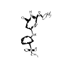 CSc1nc(Nc2cccc(S(C)(=O)=O)c2)cc(=O)[nH]1